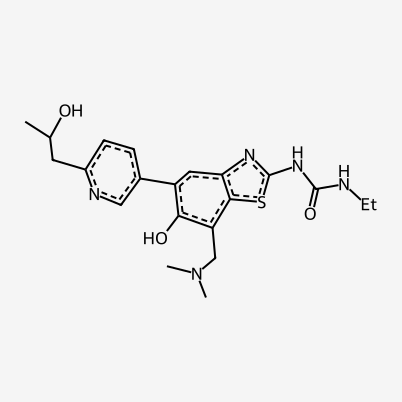 CCNC(=O)Nc1nc2cc(-c3ccc(CC(C)O)nc3)c(O)c(CN(C)C)c2s1